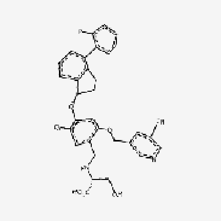 N#Cc1cncc(COc2cc(O[C@@H]3CCc4c(-c5ccccc5F)cccc43)c(Cl)cc2CN[C@H](CO)C(=O)O)c1